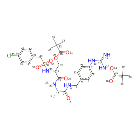 C[C@@H](C(=O)NCc1ccc(NC(=N)NOC(=O)C(C)(C)C)cc1)N(C)C(=O)C(COC(=O)C(C)(C)C)NS(=O)(=O)Cc1ccc(Cl)cc1